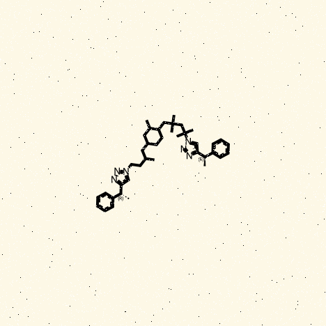 CC(CCn1cc([C@H](C)c2ccccc2)nn1)CC1CCC(CC(C)(C)CC(C)(C)n2cc([C@H](C)c3ccccc3)nn2)C(C)C1